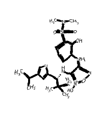 CC(C)c1coc([C@H](Nc2c(Nc3cccc(S(=O)(=O)N(C)C)c3O)no[n+]2O)C(C)(C)C)c1